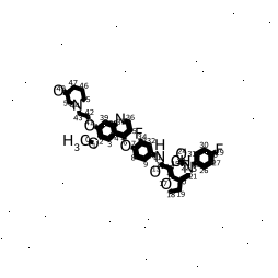 COc1cc2c(Oc3ccc(NC(=O)/C(C)=C4\OCC\C4=C\N(C=O)c4ccc(F)cc4)cc3F)ccnc2cc1OCCN1CCCC(=O)C1